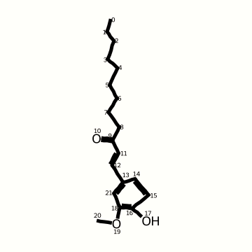 CCCCCCCCCC(=O)/C=C/c1ccc(O)c(OC)c1